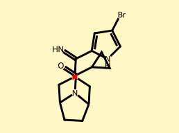 N=C(c1cc(Br)c[nH]1)N1CC2CCC(C1)N2C(=O)C1CC1